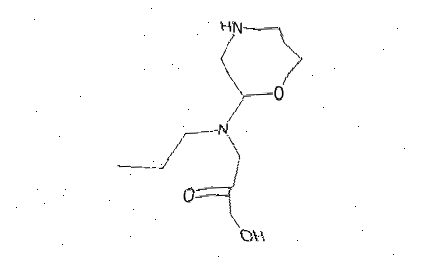 CCCN(CC(=O)O)C1CNCCO1